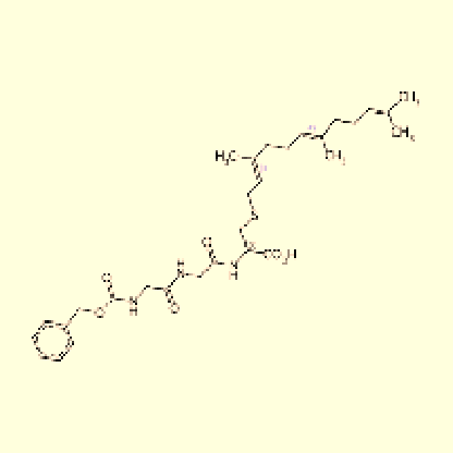 CC(C)=CCC/C(C)=C/CC/C(C)=C/CSC[C@H](NC(=O)CNC(=O)CNC(=O)OCc1ccccc1)C(=O)O